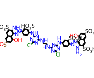 Nc1c(S(=O)(=O)O)cc2cc(SO)cc(O)c2c1/N=N/c1ccc(Nc2nc(Cl)nc(NCCNc3nc(Cl)nc(Nc4ccc(/N=N/c5c(N)c(S(=O)(=O)O)cc6cc(S(=O)(=O)O)cc(O)c56)c(S(=O)(=O)O)c4)n3)n2)cc1S(=O)(=O)O